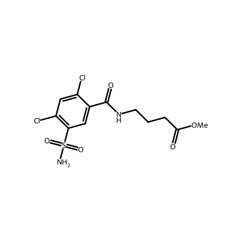 COC(=O)CCCNC(=O)c1cc(S(N)(=O)=O)c(Cl)cc1Cl